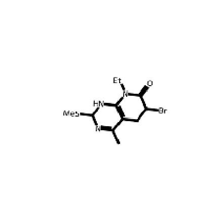 CCN1C(=O)C(Br)CC2=C1NC(SC)N=C2C